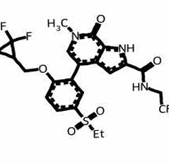 CCS(=O)(=O)c1ccc(OCC2CC2(F)F)c(-c2cn(C)c(=O)c3[nH]c(C(=O)NCC(F)(F)F)cc23)c1